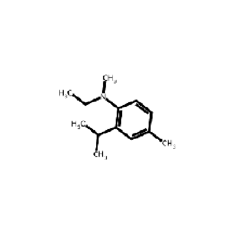 CCN(C)c1ccc(C)cc1C(C)C